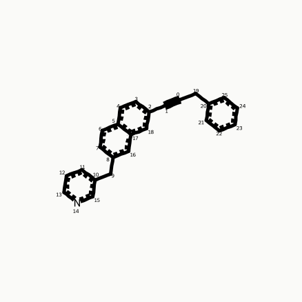 C(#Cc1ccc2ccc(Cc3cccnc3)cc2c1)Cc1ccccc1